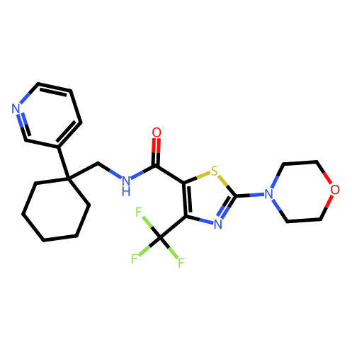 O=C(NCC1(c2cccnc2)CCCCC1)c1sc(N2CCOCC2)nc1C(F)(F)F